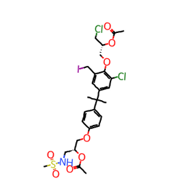 CC(=O)O[C@@H](CNS(C)(=O)=O)COc1ccc(C(C)(C)c2cc(Cl)c(OC[C@H](CCl)OC(C)=O)c(CI)c2)cc1